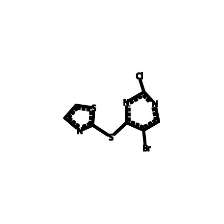 Clc1ncc(Br)c(Sc2nccs2)n1